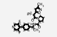 Cc1cc([C@H](C(=O)N2CCC[C@H]2C(=O)N[C@@H](C)c2ccc(-c3c(F)cncc3F)cc2)C(C)C)on1